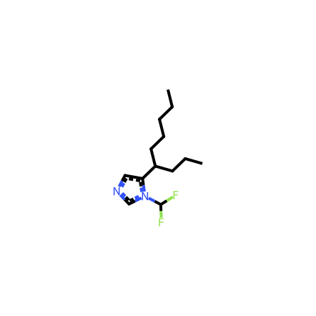 CCCCCC(CCC)c1cncn1C(F)F